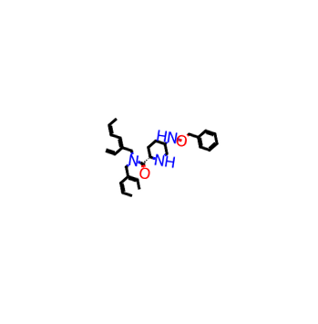 C=C/C(=C\C=C/C)CN(CC(/C=C\C)=C/C)C(=O)[C@@H]1CC[C@@H](NOCc2ccccc2)CN1